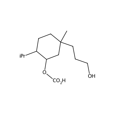 CC(C)C1CCC(C)(CCCO)CC1OC(=O)O